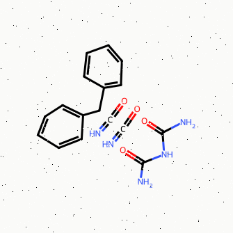 N=C=O.N=C=O.NC(=O)NC(N)=O.c1ccc(Cc2ccccc2)cc1